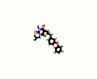 CC(C)Cn1c(=O)n(C)c(=O)c2cc(Cc3cccc(Oc4ccccc4)c3)sc21